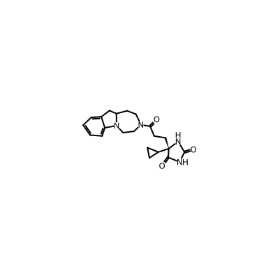 O=C1NC(=O)[C@](CCC(=O)N2CCC3Cc4ccccc4N3CC2)(C2CC2)N1